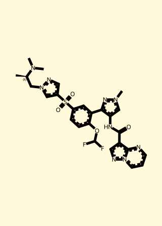 C[C@H](Cn1cc(S(=O)(=O)c2ccc(OC(F)F)c(-c3nn(C)cc3NC(=O)c3cnn4cccnc34)c2)cn1)N(C)C